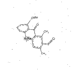 COc1cccc(OC)c1C(=O)c1c(C)cc(C)c(P=O)c1C